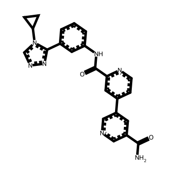 NC(=O)c1cncc(-c2ccnc(C(=O)Nc3cccc(-c4nncn4C4CC4)c3)c2)c1